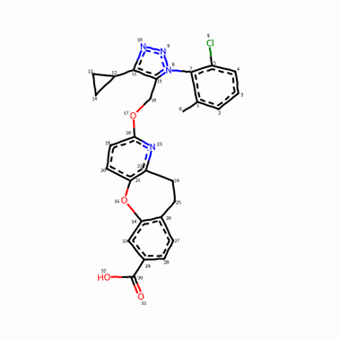 Cc1cccc(Cl)c1-n1nnc(C2CC2)c1COc1ccc2c(n1)CCc1ccc(C(=O)O)cc1O2